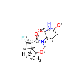 CC1OCN(C2CCC(=O)NC2=O)C(=O)C2=C(F)CC21C